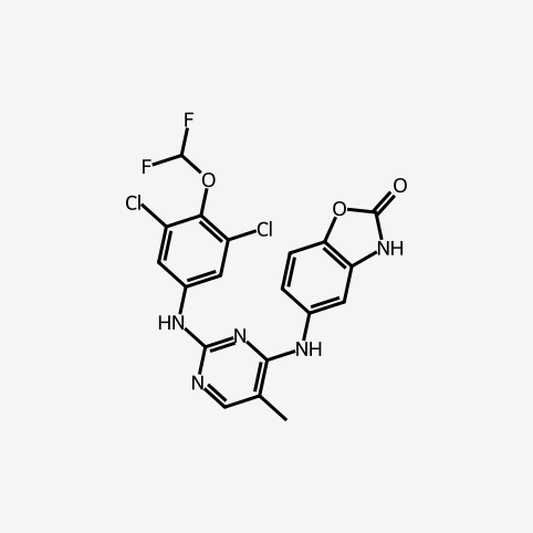 Cc1cnc(Nc2cc(Cl)c(OC(F)F)c(Cl)c2)nc1Nc1ccc2oc(=O)[nH]c2c1